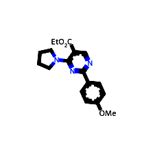 CCOC(=O)c1cnc(-c2ccc(OC)cc2)nc1N1CCCC1